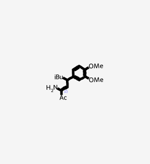 CCC(C)C(/C=C(\N)C(C)=O)c1ccc(OC)c(OC)c1